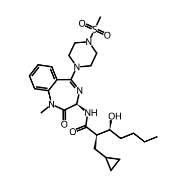 CCCC[C@H](O)[C@@H](CC1CC1)C(=O)N[C@@H]1N=C(N2CCN(S(C)(=O)=O)CC2)c2ccccc2N(C)C1=O